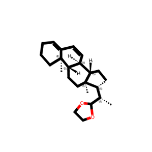 C[C@H](C1OCCO1)[C@H]1CC[C@H]2[C@@H]3C=CC4=CCCC[C@]4(C)[C@H]3CC[C@]12C